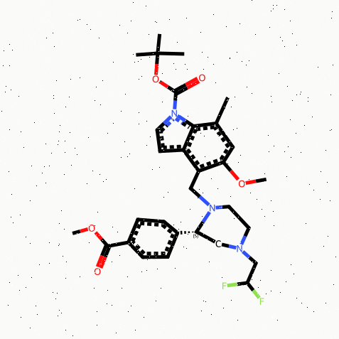 COC(=O)c1ccc([C@H]2CN(CC(F)F)CCN2Cc2c(OC)cc(C)c3c2ccn3C(=O)OC(C)(C)C)cc1